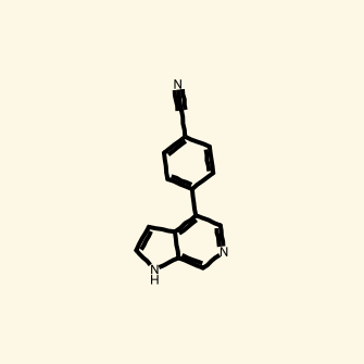 N#Cc1ccc(-c2cncc3[nH]ccc23)cc1